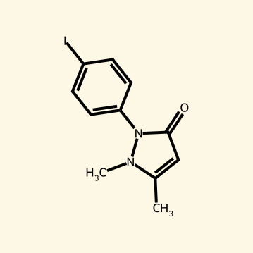 Cc1cc(=O)n(-c2ccc(I)cc2)n1C